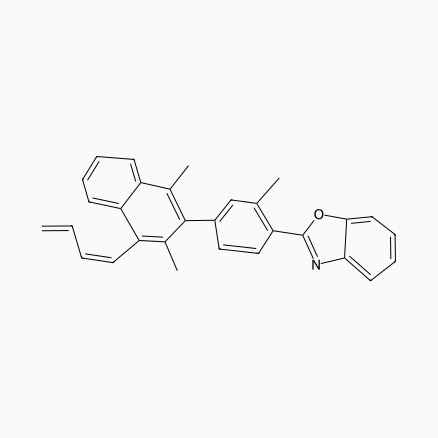 C=C/C=C\c1c(C)c(-c2ccc(-c3nc4ccccc4o3)c(C)c2)c(C)c2ccccc12